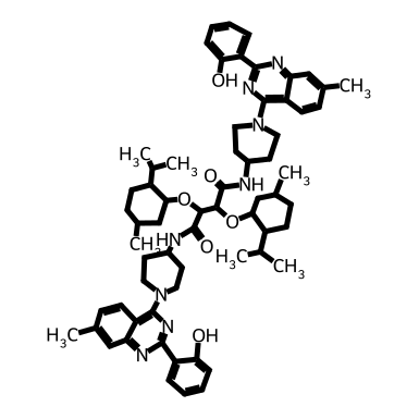 Cc1ccc2c(N3CCC(NC(=O)C(OC4CC(C)CCC4C(C)C)C(OC4CC(C)CCC4C(C)C)C(=O)NC4CCN(c5nc(-c6ccccc6O)nc6cc(C)ccc56)CC4)CC3)nc(-c3ccccc3O)nc2c1